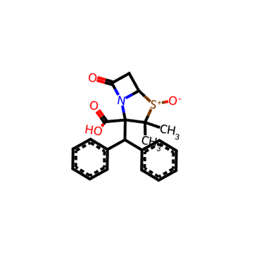 CC1(C)[S+]([O-])C2CC(=O)N2C1(C(=O)O)C(c1ccccc1)c1ccccc1